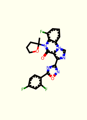 CC1(n2c(=O)c3c(-c4noc(-c5ccc(F)cc5F)n4)ncn3c3cccc(F)c32)CCCO1